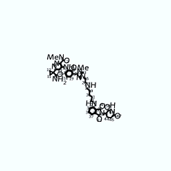 CNC(=O)c1nnc(C2(C(N)=O)CC2)cc1Nc1cccc(-c2ncn(CCNCCCCCNc3cccc4c3C(=O)N(C3CCC(=O)NC3=O)C4=O)n2)c1OC